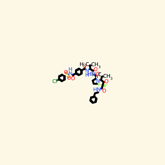 CC(C)C(C(=O)C(F)(F)C(=O)NCCc1ccccc1)N1CCC[C@H]1C(=O)NC(=O)[C@@H](NC(=O)c1ccc(C(=O)NS(=O)(=O)c2ccc(Cl)cc2)cc1)C(C)C